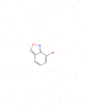 Brc1cccc2conc12